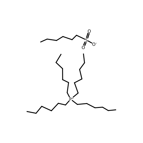 CCCCCCS(=O)(=O)[O-].CCCCCC[P+](CCCCCC)(CCCCCC)CCCCCC